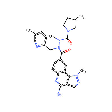 CC1CCN(C(=O)N(C)N(Cc2ccc(C(F)(F)F)cn2)C(=O)c2ccc3nc(N)c4cnn(C)c4c3c2)C1